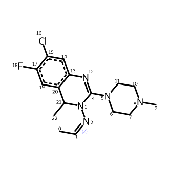 C/C=N\N1C(N2CCN(C)CC2)=Nc2cc(Cl)c(F)cc2C1C